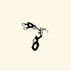 NC(=NN=Cc1csc2ccccc12)NCc1ccc(Cl)c(Cl)c1